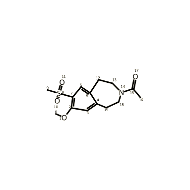 COc1cc2c(cc1S(C)(=O)=O)CCN(C(C)=O)CC2